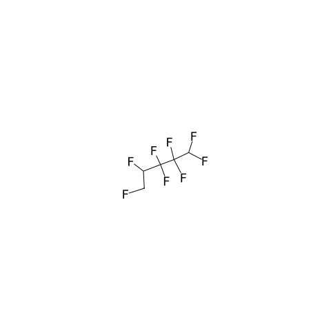 FCC(F)C(F)(F)C(F)(F)C(F)F